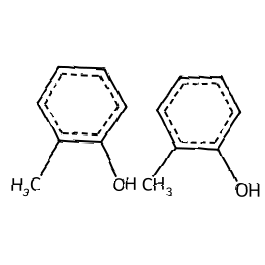 Cc1ccccc1O.Cc1ccccc1O